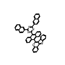 c1ccc2cc(-c3nc(-c4ccc5ccccc5c4)nc(-c4c5ccccc5c(-c5oc6ccccc6c6nc7ccccc7c5-6)c5ccccc45)n3)ccc2c1